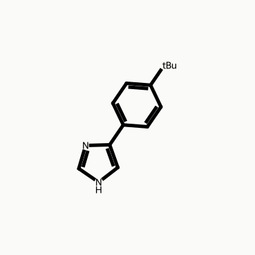 CC(C)(C)c1ccc(-c2c[nH]cn2)cc1